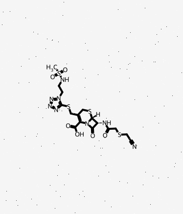 CS(=O)(=O)NCCn1nnnc1SCC1=C(C(=O)O)N2C(=O)[C@@H](NC(=O)CSCC#N)[C@H]2SC1